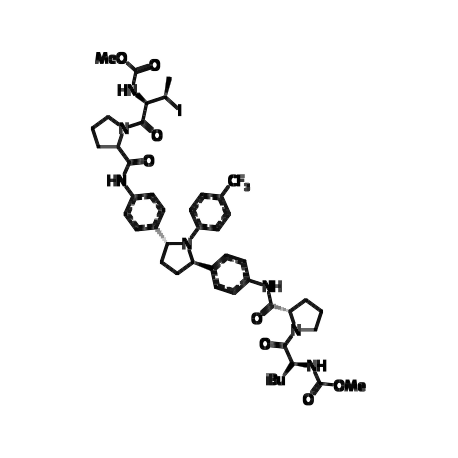 CC[C@H](C)[C@H](NC(=O)OC)C(=O)N1CCC[C@H]1C(=O)Nc1ccc([C@H]2CC[C@H](c3ccc(NC(=O)C4CCCN4C(=O)[C@@H](NC(=O)OC)[C@@H](C)I)cc3)N2c2ccc(C(F)(F)F)cc2)cc1